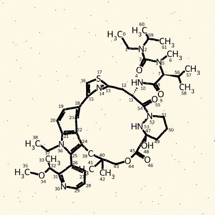 CCN(C(=O)N(C)[C@H](C(=O)N[C@H]1Cc2nc(cs2)-c2ccc3c(c2)c(c(-c2cccnc2[C@H](C)OC)n3CC)CC(C)(C)COC(=O)[C@@]2(O)CCCN(N2)C1=O)C(C)C)C(C)C